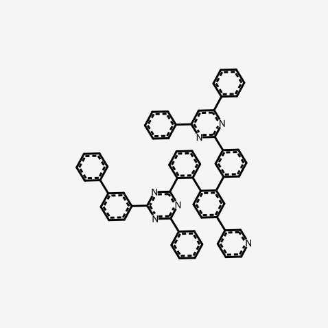 c1ccc(-c2cccc(-c3nc(-c4ccccc4)nc(-c4ccccc4-c4ccc(-c5cccnc5)cc4-c4cccc(-c5nc(-c6ccccc6)cc(-c6ccccc6)n5)c4)n3)c2)cc1